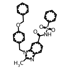 Cc1nc2ccc(C(=O)NS(=O)(=O)c3ccccc3)cc2n1Cc1ccc(OCc2ccccc2)cc1